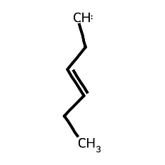 [CH]CC=CCC